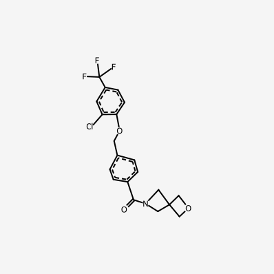 O=C(c1ccc(COc2ccc(C(F)(F)F)cc2Cl)cc1)N1CC2(COC2)C1